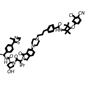 Cc1ncsc1-c1ccc([C@H](C)NC(=O)[C@@H]2C[C@@H](O)CN2C(=O)C(C(C)C)N2Cc3ccc(N4CCN(CCCc5ccc(C(=O)NC6C(C)(C)C(Oc7ccc(C#N)c(Cl)c7)C6(C)C)cc5)CC4)cc3C2=O)cc1